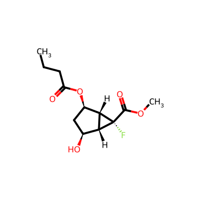 CCCC(=O)O[C@@H]1C[C@H](O)[C@@H]2[C@H]1[C@@]2(F)C(=O)OC